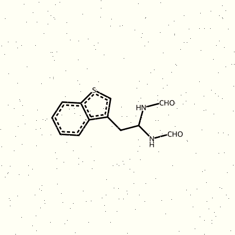 O=CNC(Cc1csc2ccccc12)NC=O